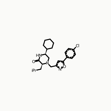 CC(C)C[C@H]1C(=O)N[C@@H](C2CCCCC2)CN1Cc1cc(-c2ccc(Cl)cc2)on1